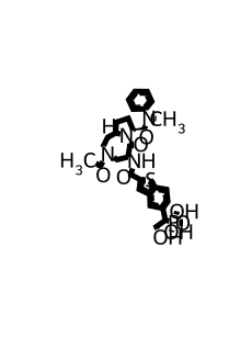 CC(=O)N1CC[C@H]2CC[C@@H](C(=O)N(C)c3ccccc3)N2C(=O)C(NC(=O)c2cc3cc(C(CO)P(=O)(O)O)ccc3s2)C1